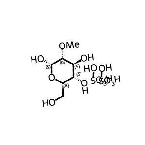 CO[C@@H]1[C@@H](O)[C@H](O)[C@@H](CO)O[C@@H]1O.O=S(=O)(O)O.O=S(=O)(O)O